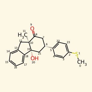 CSc1ccc([C@H]2CC(=O)[C@]3(C)Cc4ccccc4[C@]3(O)C2)cc1